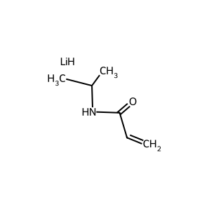 C=CC(=O)NC(C)C.[LiH]